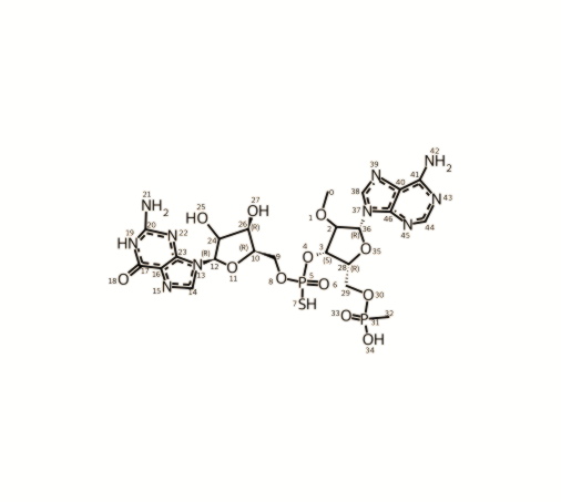 COC1[C@@H](OP(=O)(S)OC[C@H]2O[C@@H](n3cnc4c(=O)[nH]c(N)nc43)C(O)[C@H]2O)[C@@H](COP(C)(=O)O)O[C@H]1n1cnc2c(N)ncnc21